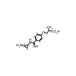 CC(COc1ccc(C(=N)NC2C[C@H]2N)cc1)C(=O)O